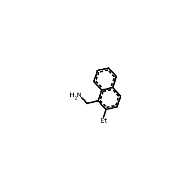 CCc1ccc2ccccc2c1CN